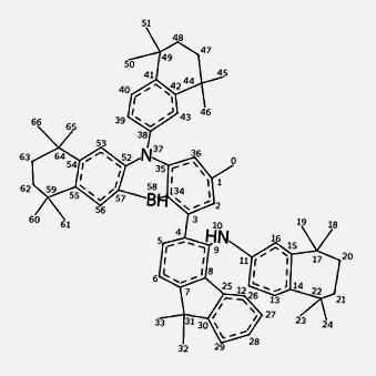 Cc1cc(-c2ccc3c(c2Nc2ccc4c(c2)C(C)(C)CCC4(C)C)-c2ccccc2C3(C)C)c2c(c1)N(c1ccc3c(c1)C(C)(C)CCC3(C)C)c1cc3c(cc1B2)C(C)(C)CCC3(C)C